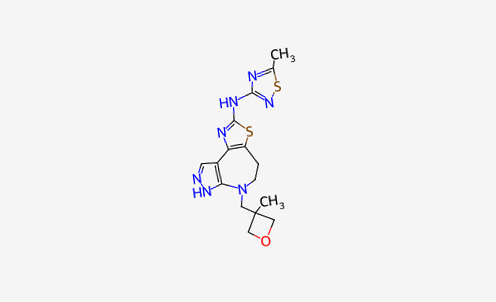 Cc1nc(Nc2nc3c(s2)CCN(CC2(C)COC2)c2[nH]ncc2-3)ns1